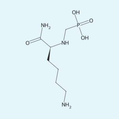 NCCCC[C@H](NCP(=O)(O)O)C(N)=O